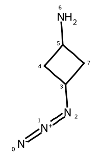 [N-]=[N+]=NC1CC(N)C1